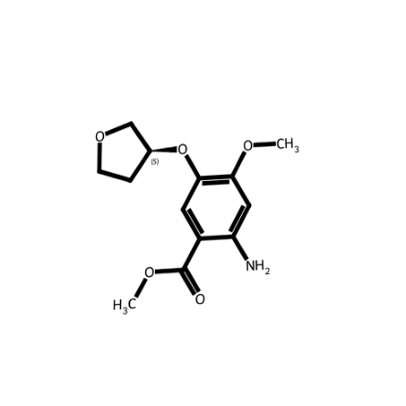 COC(=O)c1cc(O[C@H]2CCOC2)c(OC)cc1N